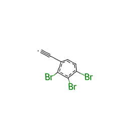 [C]#Cc1ccc(Br)c(Br)c1Br